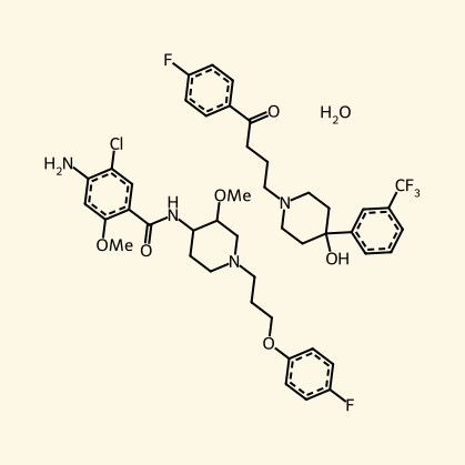 COc1cc(N)c(Cl)cc1C(=O)NC1CCN(CCCOc2ccc(F)cc2)CC1OC.O.O=C(CCCN1CCC(O)(c2cccc(C(F)(F)F)c2)CC1)c1ccc(F)cc1